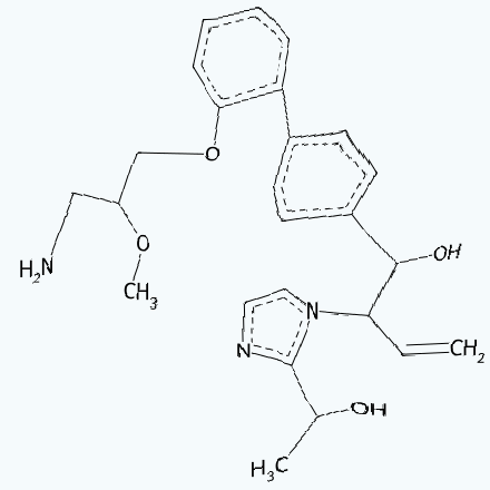 C=CC(C(O)c1ccc(-c2ccccc2OCC(CN)OC)cc1)n1ccnc1C(C)O